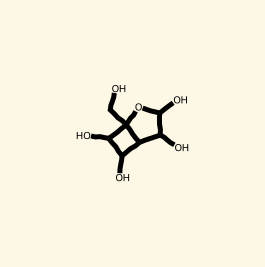 OCC12OC(O)C(O)C1C(O)C2O